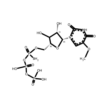 BP(=O)(OC[C@H]1O[C@@H](n2cc(OC)c(=O)[nH]c2=O)[C@@H](O)C1O)OP(=O)(O)OP(=O)(O)O